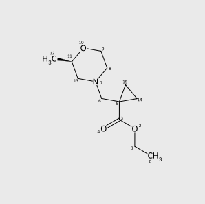 CCOC(=O)C1(CN2CCO[C@H](C)C2)CC1